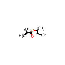 C=C(CC)C(=O)OC(C)CC(C)C